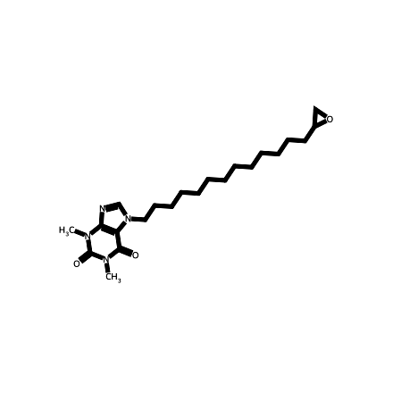 Cn1c(=O)c2c(ncn2CCCCCCCCCCCCCC2CO2)n(C)c1=O